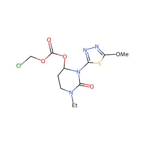 CCN1CCC(OC(=O)OCCl)N(c2nnc(OC)s2)C1=O